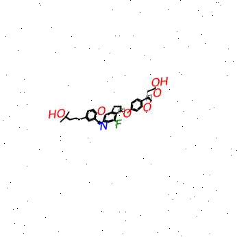 CC(C)(O)CCCc1ccc(Oc2ccc(F)c3c2CC[C@H]3Oc2ccc3c(c2)OC[C@H]3CC(=O)O)c(C#N)c1